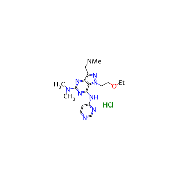 CCOCCn1nc(CNC)c2nc(N(C)C)nc(Nc3ccncn3)c21.Cl